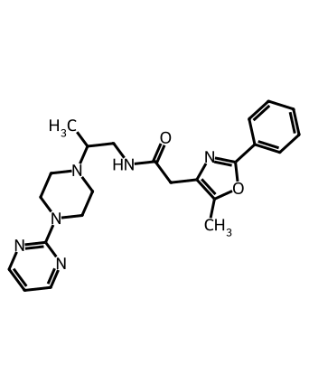 Cc1oc(-c2ccccc2)nc1CC(=O)NCC(C)N1CCN(c2ncccn2)CC1